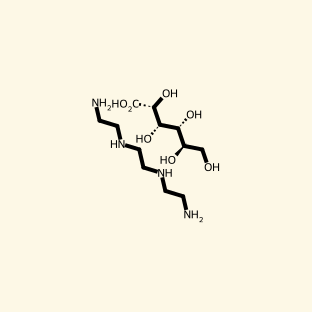 NCCNCCNCCN.O=C(O)[C@H](O)[C@@H](O)[C@H](O)[C@H](O)CO